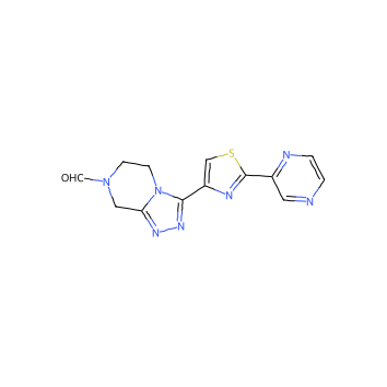 O=CN1CCn2c(nnc2-c2csc(-c3cnccn3)n2)C1